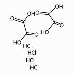 Cl.Cl.Cl.Cl.O=C(O)C(=O)O.O=C(O)C(=O)O